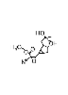 CCOC(=O)C1(C#N)OC1C1C2CC(O)C(CC(=O)O)C21